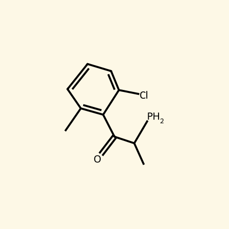 Cc1cccc(Cl)c1C(=O)C(C)P